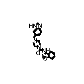 O=C(NC1=NOC2C=CC=CC12)N1CCN(Cc2ccc3nc[nH]c3c2)CC1